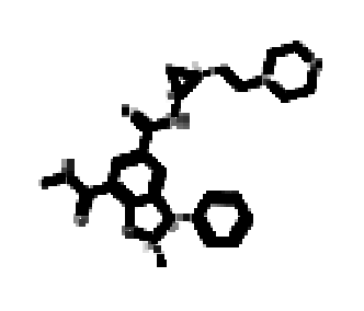 CNC(=O)c1cc(C(=O)N[C@H]2C[C@@H]2CCN2CCOCC2)cc2c1O[C@@H](C)[C@H]2c1ccccc1